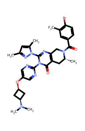 Cc1cc(C)n(-c2nc3c(c(=O)n2-c2ncc(O[C@H]4C[C@@H](N(C)C)C4)cn2)C[C@@H](C)N(C(=O)c2ccc(Br)c(C(F)(F)F)c2)C3)n1